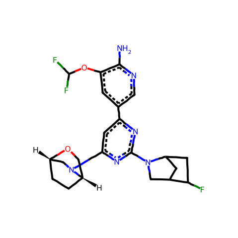 Nc1ncc(-c2cc(N3C[C@@H]4CC[C@H]3CO4)nc(N3CC4CC3CC4F)n2)cc1OC(F)F